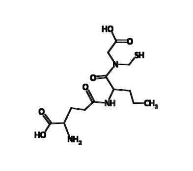 CCCC(NC(=O)CCC(N)C(=O)O)C(=O)N(CS)CC(=O)O